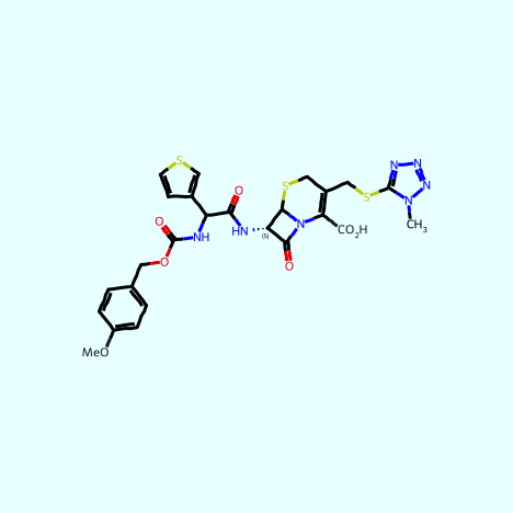 COc1ccc(COC(=O)NC(C(=O)N[C@H]2C(=O)N3C(C(=O)O)=C(CSc4nnnn4C)CSC23)c2ccsc2)cc1